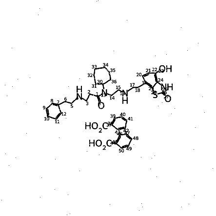 O=C(CCNCCc1ccccc1)N(CCNCCc1ccc(O)c2[nH]c(=O)sc12)C1CCCCCC1.O=C(O)c1ccccc1.O=C(O)c1ccccc1